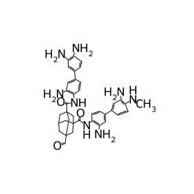 CNc1ccc(-c2ccc(NC(=O)C34CC5CC(C=O)(CC(C(=O)Nc6ccc(-c7ccc(N)c(N)c7)cc6N)(C5)C3)C4)c(N)c2)cc1N